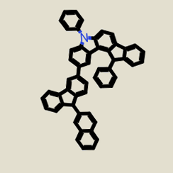 c1ccc(C2c3ccccc3-c3ccc4c(c32)c2cc(-c3ccc5c(c3)-c3ccccc3C5c3ccc5ccccc5c3)ccc2n4-c2ccccc2)cc1